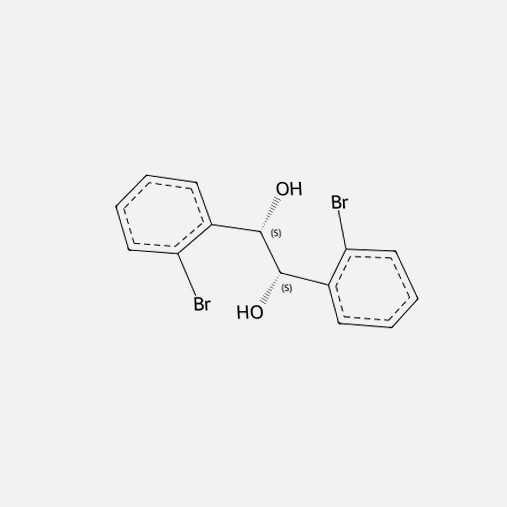 O[C@@H](c1ccccc1Br)[C@@H](O)c1ccccc1Br